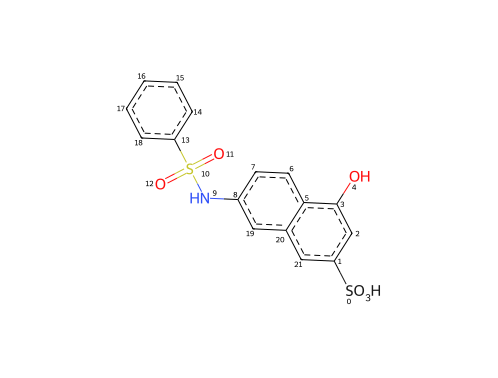 O=S(=O)(O)c1cc(O)c2ccc(NS(=O)(=O)c3ccccc3)cc2c1